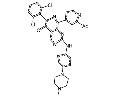 CC(=O)c1cc(-c2nn(-c3c(Cl)cccc3Cl)c(=O)c3cnc(Nc4ccc(N5CCN(C)CC5)cc4)nc23)ccn1